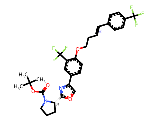 CC(C)(C)OC(=O)N1CCC[C@H]1c1nc(-c2ccc(OCC/C=C/c3ccc(C(F)(F)F)cc3)c(C(F)(F)F)c2)co1